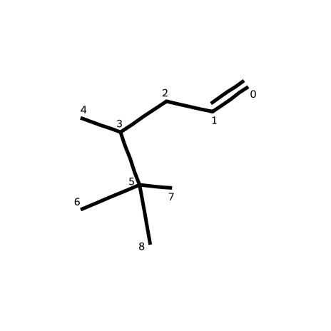 C=CCC(C)C(C)(C)C